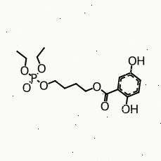 CCOP(=O)(OCC)OCCCCOC(=O)c1cc(O)ccc1O